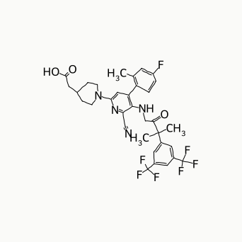 Cc1cc(F)ccc1-c1cc(N2CCC(CC(=O)O)CC2)nc(C#N)c1NCC(=O)C(C)(C)c1cc(C(F)(F)F)cc(C(F)(F)F)c1